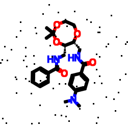 CN(C)c1ccc(C(=O)NC[C@H]2OCCOC(C)(C)O[C@H]2CNC(=O)c2ccccc2)cc1